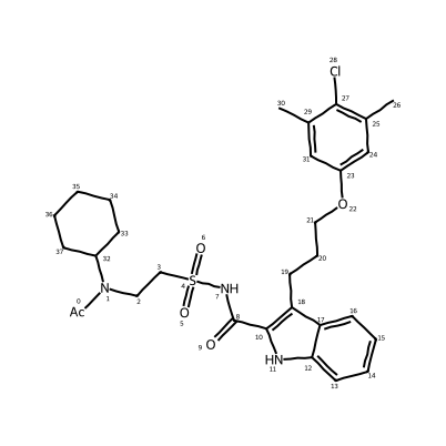 CC(=O)N(CCS(=O)(=O)NC(=O)c1[nH]c2ccccc2c1CCCOc1cc(C)c(Cl)c(C)c1)C1CCCCC1